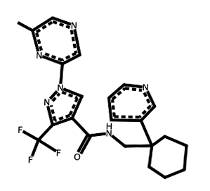 Cc1cncc(-n2cc(C(=O)NCC3(c4cccnc4)CCCCC3)c(C(F)(F)F)n2)n1